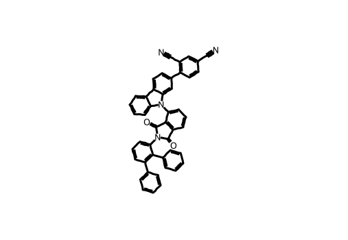 N#Cc1ccc(-c2ccc3c4ccccc4n(-c4cccc5c4C(=O)N(c4cccc(-c6ccccc6)c4-c4ccccc4)C5=O)c3c2)c(C#N)c1